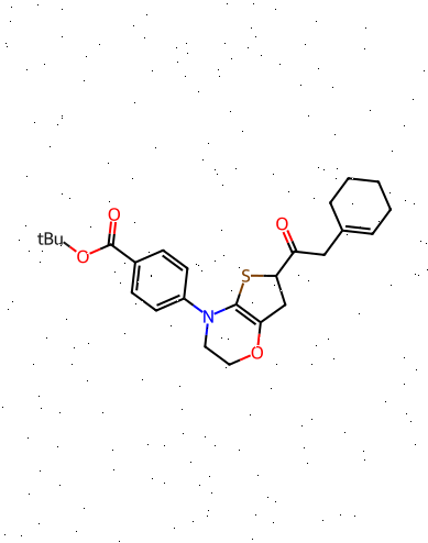 CC(C)(C)OC(=O)c1ccc(N2CCOC3=C2SC(C(=O)CC2=CCCCC2)C3)cc1